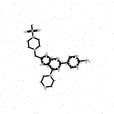 CS(=O)(=O)N1CCN(Cc2nc3nc(-c4cnc(N)nc4)nc(N4CCOCC4)c3s2)CC1